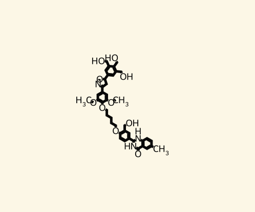 COc1cc(C2=NOC(c3cc(CO)c(CO)c(CO)c3)C2)cc(OC)c1OCCCCCOc1ccc(C2NC(=O)c3cc(C)ccc3N2)cc1CO